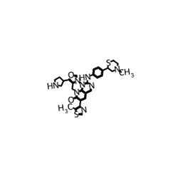 Cc1scnc1-c1cc2cnc(Nc3ccc(C4CN(C)CCS4)cc3)nc2n(Cc2ncoc2C2CCNC2)c1=O